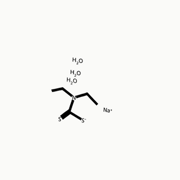 CCN(CC)C(=S)[S-].O.O.O.[Na+]